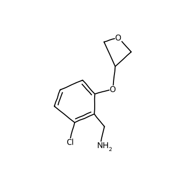 NCc1c(Cl)cccc1OC1COC1